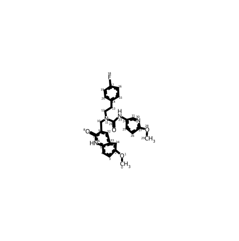 COc1ccc2[nH]c(=O)c(CN(CCc3ccc(F)cc3)C(=O)Nc3ccc(OC)nc3)cc2c1